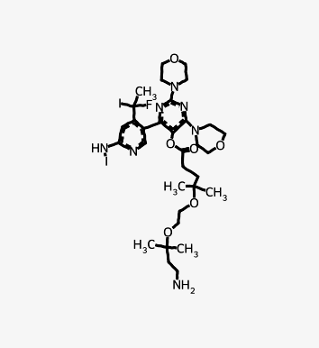 CC(C)(CCN)OCCOC(C)(C)CCC(=O)Oc1c(-c2cnc(NI)cc2C(C)(F)I)nc(N2CCOCC2)nc1N1CCOCC1